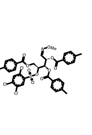 CO/N=C\[C@H](OC(=O)c1ccc(C)cc1)[C@@H](OC(=O)c1ccc(C)cc1)[C@H](COC(=O)c1ccc(C)cc1)OS(=O)(=O)c1cc(Cl)c(Cl)cc1Cl